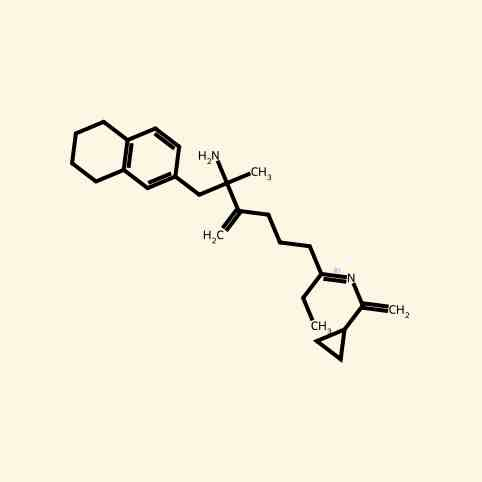 C=C(/N=C(\CC)CCCC(=C)C(C)(N)Cc1ccc2c(c1)CCCC2)C1CC1